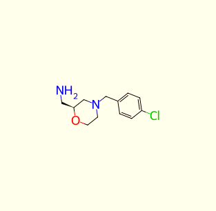 NC[C@H]1CN(Cc2ccc(Cl)cc2)CCO1